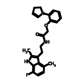 Cc1[nH]c2c(F)ccc(C)c2c1CCNC(=O)COc1ccccc1N1C=CCC1